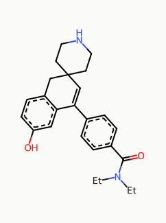 CCN(CC)C(=O)c1ccc(C2=CC3(CCNCC3)Cc3ccc(O)cc32)cc1